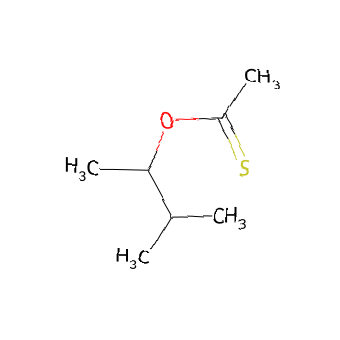 CC(=S)OC(C)C(C)C